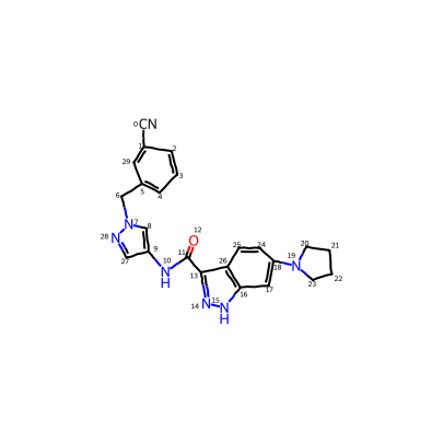 N#Cc1cccc(Cn2cc(NC(=O)c3n[nH]c4cc(N5CCCC5)ccc34)cn2)c1